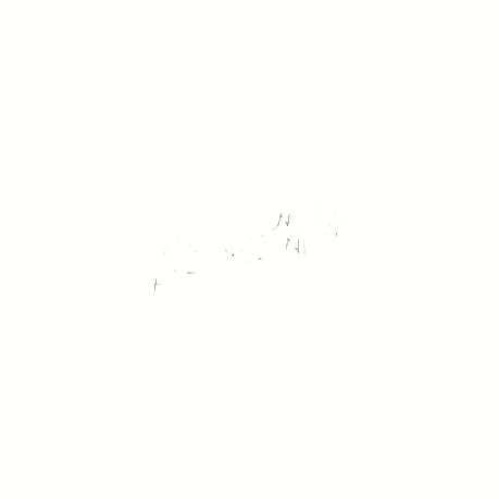 Fc1cccc(/C=N/c2ccc3[nH]c(-c4ccco4)nc3c2)c1